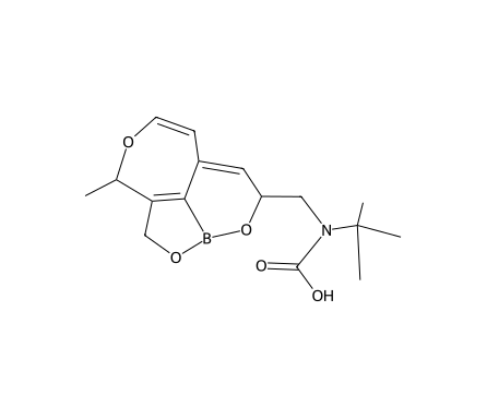 CC1OC=CC2=CC(CN(C(=O)O)C(C)(C)C)OB3OCC1=C32